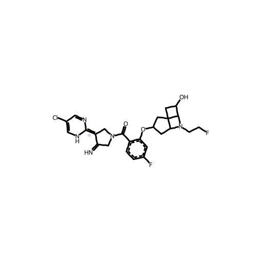 N=C1CN(C(=O)c2ccc(F)cc2OC2CC3N(CCF)C4C(O)CC34C2)C/C1=C1\N=CC(Cl)=CN1